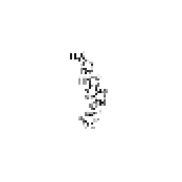 Cc1ccc(C(=O)Nc2ccc3c(OCC4CCOCC4)nccc3c2)nc1